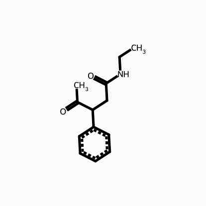 CCNC(=O)CC(C(C)=O)c1ccccc1